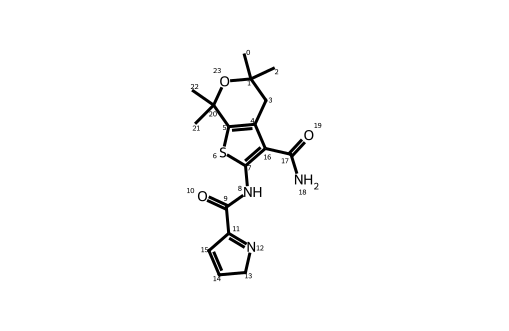 CC1(C)Cc2c(sc(NC(=O)C3=NCC=C3)c2C(N)=O)C(C)(C)O1